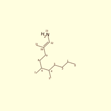 CCCCC(C)C(C)CC/C(C)=C/N